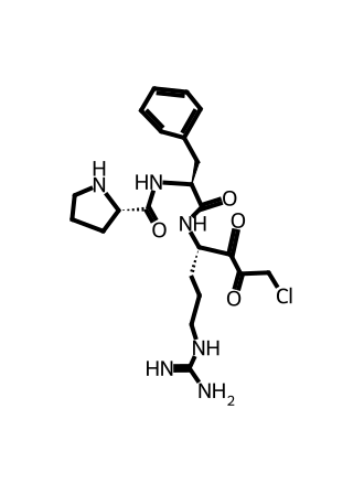 N=C(N)NCCC[C@H](NC(=O)[C@H](Cc1ccccc1)NC(=O)[C@@H]1CCCN1)C(=O)C(=O)CCl